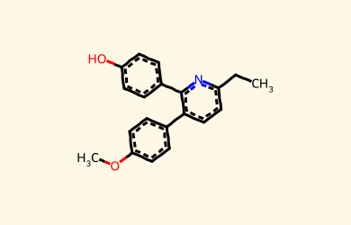 CCc1ccc(-c2ccc(OC)cc2)c(-c2ccc(O)cc2)n1